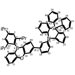 CC(C)c1cc(C(C)C)c(B2c3ccccc3Oc3cc(-c4cccc(N5c6ccccc6[Si](c6ccccc6)(c6ccccc6)c6ccccc65)c4)ccc32)c(C(C)C)c1